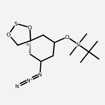 CC(C)(C)[Si](C)(C)OC1CC(N=[N+]=[N-])C[C@@]2(COSO2)C1